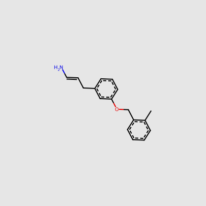 Cc1ccccc1COc1cccc(C/C=C/N)c1